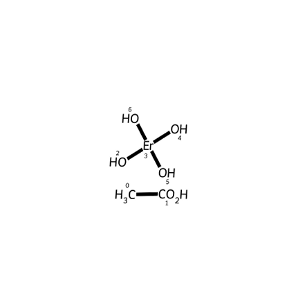 CC(=O)O.[OH][Er]([OH])([OH])[OH]